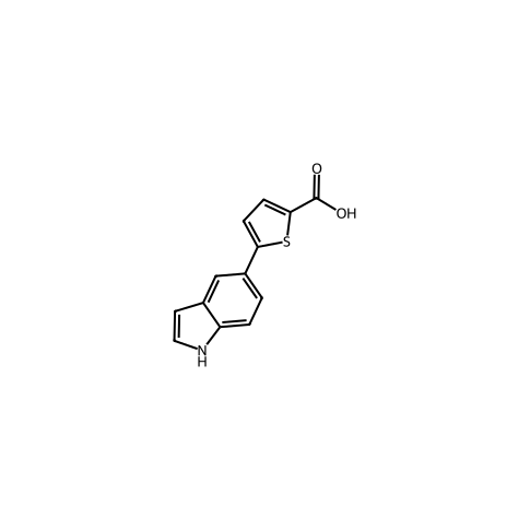 O=C(O)c1ccc(-c2ccc3[nH]ccc3c2)s1